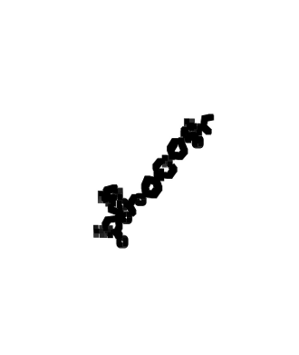 CCC(C)n1ncn(C2C=CC(N3CCN(c4ccc(OCC5COC(Cn6nccn6)(C6CCNC(=O)C6)O5)cc4)CC3)=CC2)c1=O